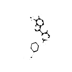 CP(C)(=O)c1c(C#N)ccc2c(-c3nc(N[C@H]4CCC[C@H](NC(=O)O)C4)ncc3C(F)(F)F)c[nH]c12